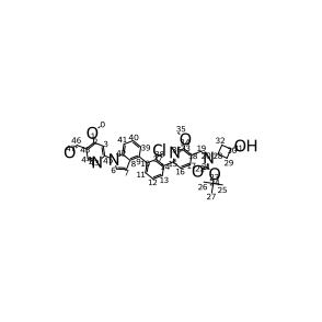 COc1cc(-n2ccc3c(-c4cccc(-c5ccc(CN(C(=O)OC(C)(C)C)[C@H]6C[C@@H](O)C6)c(OC)n5)c4Cl)cccc32)ncc1C=O